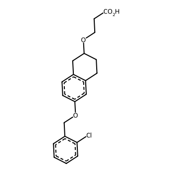 O=C(O)CCOC1CCc2cc(OCc3ccccc3Cl)ccc2C1